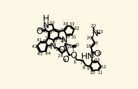 C#C[C@]1(C(=O)OCCCc2ccccc2NC(=O)/C=C/CN(C)C)CC2O[C@]1(C)n1c3ccccc3c3c4c(c5c6ccccc6n2c5c31)C(=O)NC4